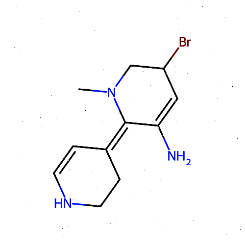 CN1CC(Br)C=C(N)C1=C1C=CNCC1